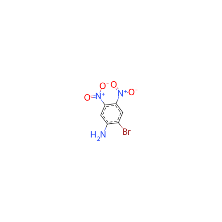 Nc1cc([N+](=O)[O-])c([N+](=O)[O-])cc1Br